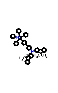 CC1(C)c2ccccc2-c2ccc(N(c3ccc(-c4ccc(-c5c(-c6ccccc6)c(-c6ccccc6)n(-c6ccccc6)c5-c5ccccc5)cc4)cc3)c3ccc4c(c3)C(C)(C)c3ccccc3-4)cc21